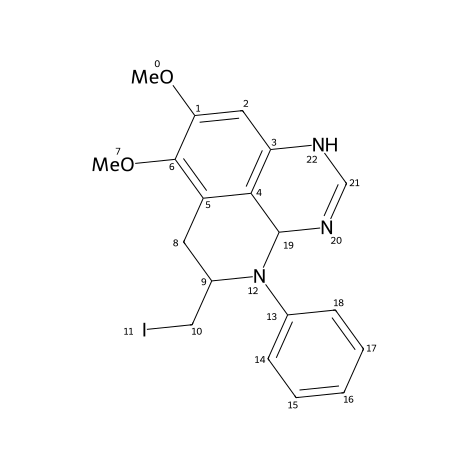 COc1cc2c3c(c1OC)CC(CI)N(c1ccccc1)C3N=CN2